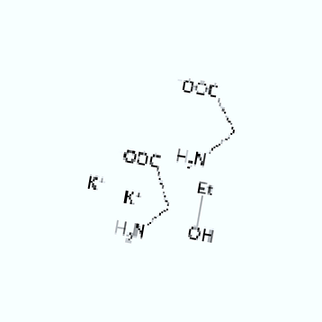 CCO.NCC(=O)[O-].NCC(=O)[O-].[K+].[K+]